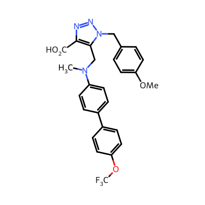 COc1ccc(Cn2nnc(C(=O)O)c2CN(C)c2ccc(-c3ccc(OC(F)(F)F)cc3)cc2)cc1